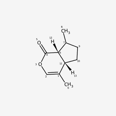 CC1=COC(=O)[C@@H]2C(C)CC[C@H]12